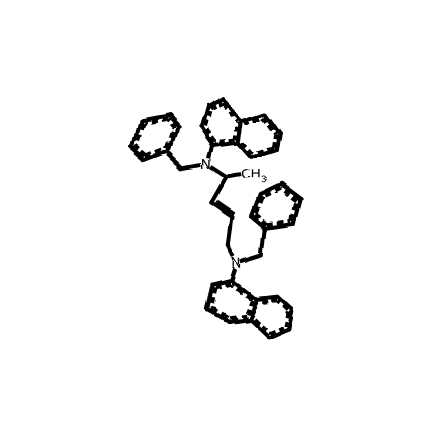 CC(C=CCN(Cc1ccccc1)c1cccc2ccccc12)N(Cc1ccccc1)c1cccc2ccccc12